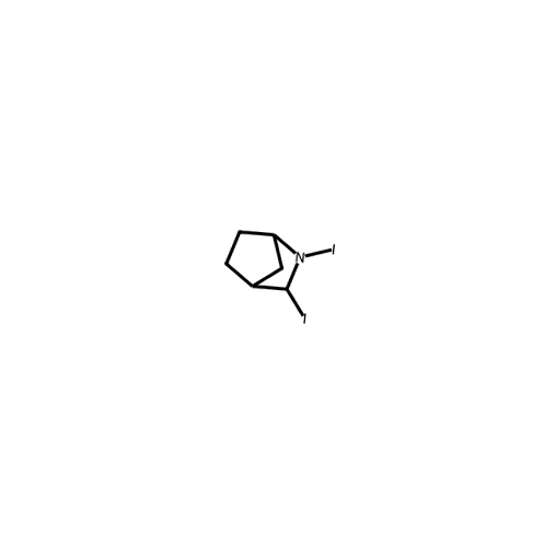 IC1C2CCC(C2)N1I